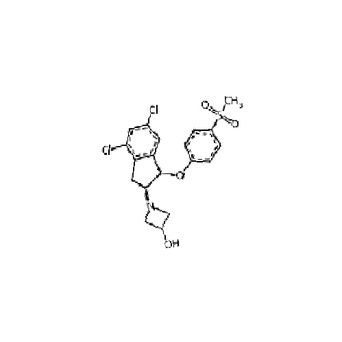 CS(=O)(=O)c1ccc(O[C@@H]2c3cc(Cl)cc(Cl)c3C[C@@H]2N2CC(O)C2)cc1